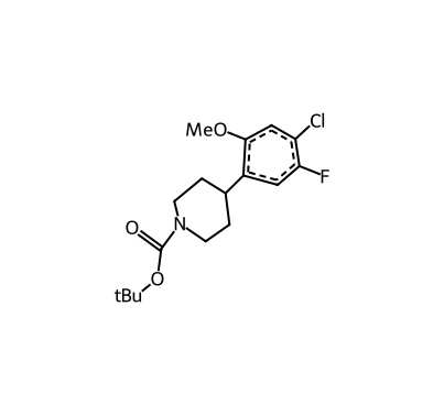 COc1cc(Cl)c(F)cc1C1CCN(C(=O)OC(C)(C)C)CC1